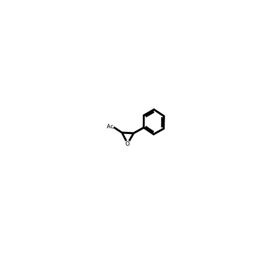 CC(=O)C1OC1c1ccccc1